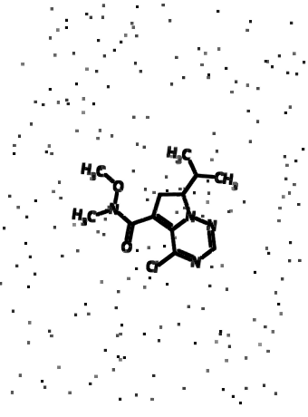 CON(C)C(=O)C1=C2C(Cl)=NC=NN2C(C(C)C)C1